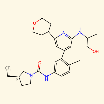 Cc1ccc(NC(=O)N2CC[C@@H](CC(F)(F)F)C2)cc1-c1cc(NC(C)CO)nc(C2CCOCC2)c1